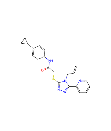 C=CCn1c(SCC(=O)NC2C=CC(C3CC3)=CC2)nnc1-c1ccccn1